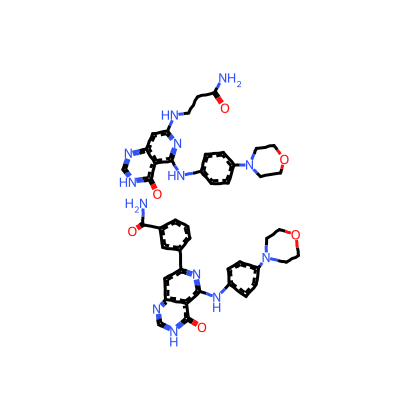 NC(=O)CCNc1cc2nc[nH]c(=O)c2c(Nc2ccc(N3CCOCC3)cc2)n1.NC(=O)c1cccc(-c2cc3nc[nH]c(=O)c3c(Nc3ccc(N4CCOCC4)cc3)n2)c1